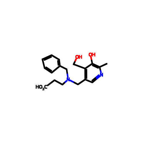 Cc1ncc(CN(CCC(=O)O)Cc2ccccc2)c(CO)c1O